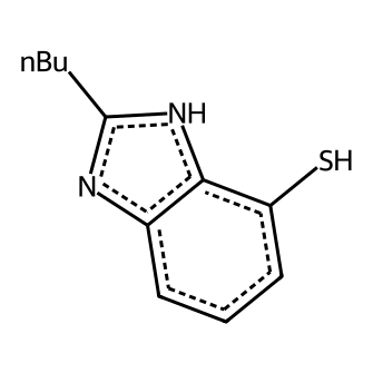 CCCCc1nc2cccc(S)c2[nH]1